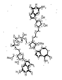 CCC1=C(N)c2ncn([C@@H]3O[C@H](COP(=O)(O)OP(=O)(O)OP(=O)([O-])OC[C@H]4O[C@@H](n5c[n+](C)c6c(=O)[nH]c(N)nc65)[C@H](O)[C@@H]4COC)[C@@H](SCOC[C@H]4O[C@@H](n5cnc6c(=O)[nH]c(N)nc65)[C@H](O)[C@@H]4O)[C@H]3OC)c2N=CC1